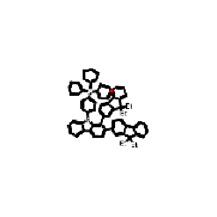 CCC1(CC)c2ccccc2-c2ccc(-c3ccc4c5ccccc5n(-c5ccc([Si](c6ccccc6)(c6ccccc6)c6ccccc6)cc5)c4c3-c3ccc4c(c3)C(CC)(CC)c3ccccc3-4)cc21